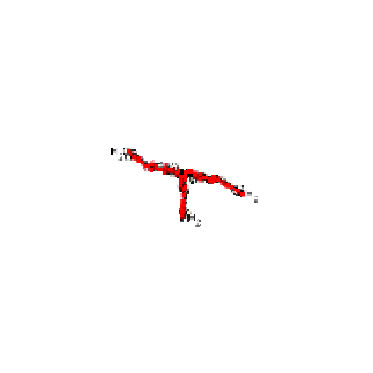 C=CC(=O)OCCCCCCOc1ccc(OCC2CCC(C(=O)Oc3ccc4c(c3)nc(Sc3ccc(OCCCCCCOC(=O)C=C)cc3)c3cc(OC(=O)C5CCC(COc6ccc(OCCCCCCOC(=O)C=C)cc6)CC5)ccc34)CC2)cc1